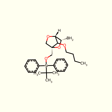 B[C@@H]1O[C@@]2(CO[Si](c3ccccc3)(c3ccccc3)C(C)(C)C)CO[C@H]1C2OCCCC